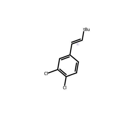 CC(C)(C)/C=C/c1ccc(Cl)c(Cl)c1